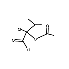 CC(=O)OC(Cl)(C(=O)Cl)C(C)C